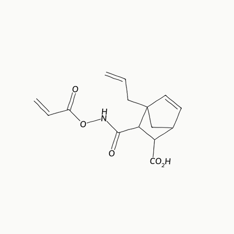 C=CCC12C=CC(C1)C(C(=O)O)C2C(=O)NOC(=O)C=C